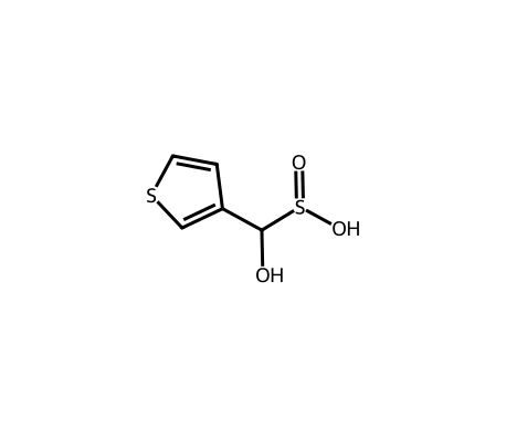 O=S(O)C(O)c1ccsc1